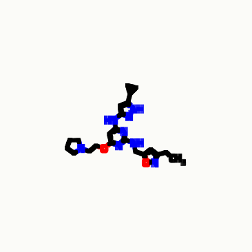 CCc1cc(CNc2nc(Nc3cc(C4CC4)[nH]n3)cc(OCCN3CCCC3)n2)on1